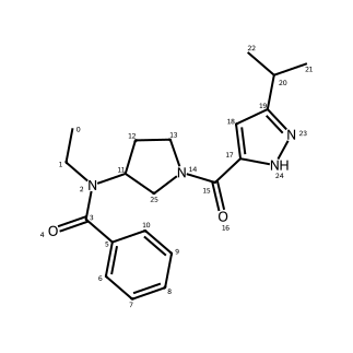 CCN(C(=O)c1ccccc1)C1CCN(C(=O)c2cc(C(C)C)n[nH]2)C1